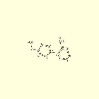 OCc1ccc(-c2cc[c]cc2O)cc1